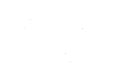 N=C(N)C1Cc2ccc(C(OC(=O)C(F)(F)F)c3ccccc3)cc2S1